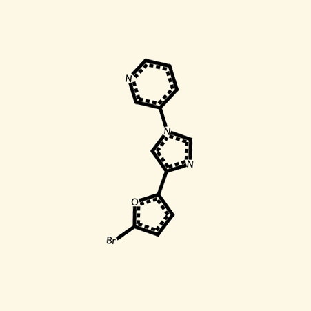 Brc1ccc(-c2cn(-c3cccnc3)cn2)o1